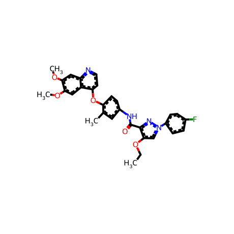 CCOc1cn(-c2ccc(F)cc2)nc1C(=O)Nc1ccc(Oc2ccnc3cc(OC)c(OC)cc23)c(C)c1